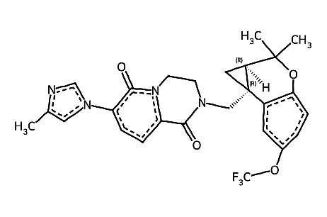 Cc1cn(-c2ccc3n(c2=O)CCN(C[C@]24C[C@H]2C(C)(C)Oc2ccc(OC(F)(F)F)cc24)C3=O)cn1